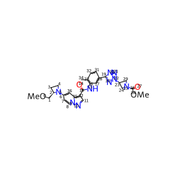 COC[C@H]1CCN1c1ccn2ncc(C(=O)Nc3cc(-c4nnn(C5CN(C(=O)OC)C5)n4)ccc3C)c2c1